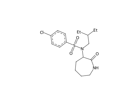 CCC(CC)CN(C1CCCCNC1=O)S(=O)(=O)c1ccc(Cl)cc1